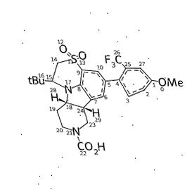 COc1ccc(-c2cc3c4c(c2)S(=O)(=O)CC(C(C)(C)C)N4[C@H]2CCN(C(=O)O)C[C@@H]32)c(C(F)(F)F)c1